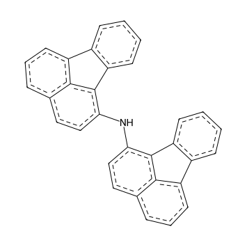 c1ccc2c(c1)-c1cccc3ccc(Nc4ccc5cccc6c5c4-c4ccccc4-6)c-2c13